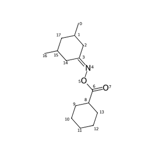 CC1CC(=NOC(=O)C2CCCCC2)CC(C)C1